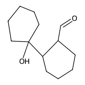 O=CC1CCCCC1C1(O)CCCCC1